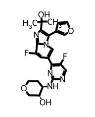 CC(C)(O)c1nc2c(F)cc(-c3nc(N[C@@H]4CCOC[C@H]4O)ncc3F)cn2c1-c1ccoc1